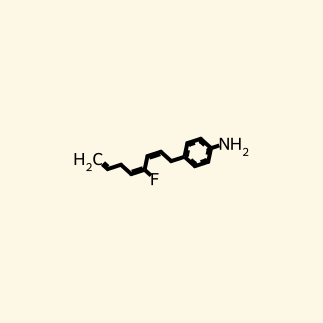 C=CC/C=C(F)\C=C/Cc1ccc(N)cc1